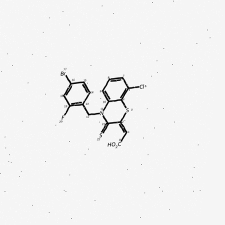 O=C(O)C=C1Sc2c(Cl)cccc2N(Cc2ccc(Br)cc2F)C1=S